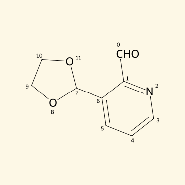 O=Cc1ncccc1C1OCCO1